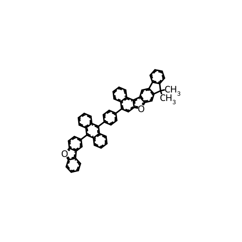 CC1(C)c2ccccc2-c2cc3c(cc21)oc1cc(-c2ccc(-c4c5ccccc5c(-c5ccc6oc7ccccc7c6c5)c5ccccc45)cc2)c2ccccc2c13